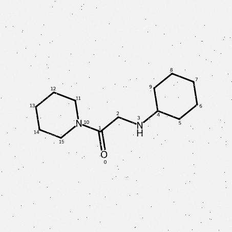 O=C(CNC1CCCCC1)N1CCCCC1